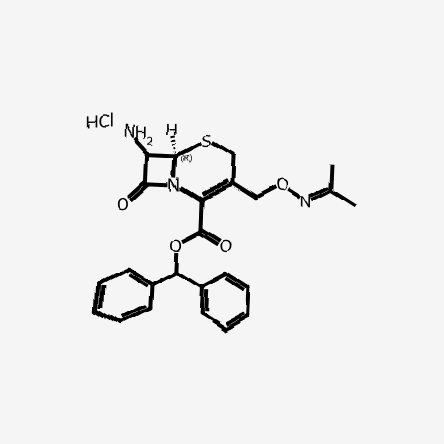 CC(C)=NOCC1=C(C(=O)OC(c2ccccc2)c2ccccc2)N2C(=O)C(N)[C@H]2SC1.Cl